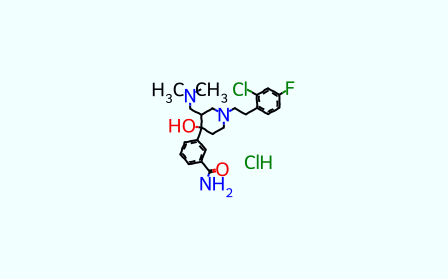 CN(C)CC1CN(CCc2ccc(F)cc2Cl)CCC1(O)c1cccc(C(N)=O)c1.Cl